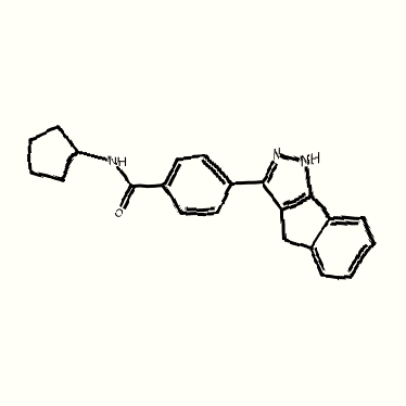 O=C(NC1CCCC1)c1ccc(-c2n[nH]c3c2Cc2ccccc2-3)cc1